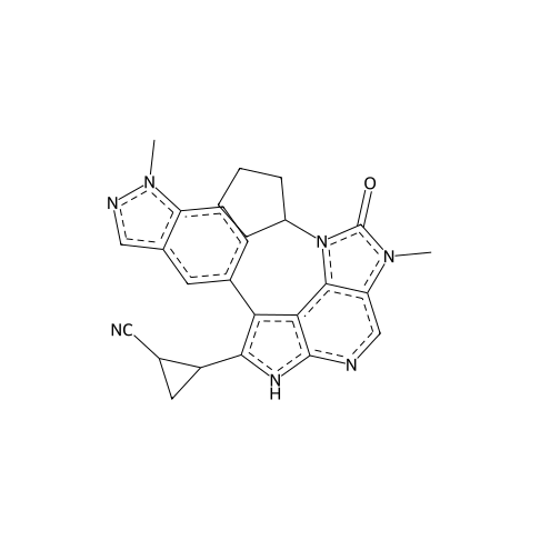 Cn1ncc2cc(-c3c(C4CC4C#N)[nH]c4ncc5c(c34)n(C3CCCC3)c(=O)n5C)ccc21